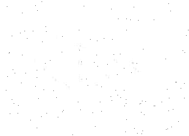 C=CC(=O)Nc1cc(Nc2cc(N3OCC[C@@H]3c3ccc(F)c(F)c3F)ncn2)c(OC)cc1N1CC[C@@H](N2CCOCC2)C1